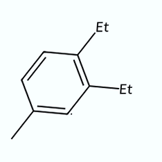 CCc1[c]c(C)ccc1CC